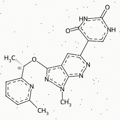 Cc1cccc([C@H](C)Oc2nn(C)c3nnc(-c4c[nH]c(=O)[nH]c4=O)cc23)n1